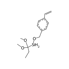 C=Cc1ccc(CO[SiH2]C(CC)(OC)OC)cc1